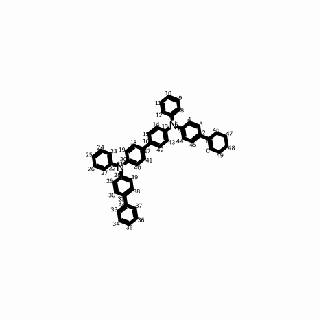 C1=C(c2ccc(N(c3ccccc3)c3ccc(-c4ccc(N(c5ccccc5)c5ccc(-c6ccccc6)cc5)cc4)cc3)cc2)CCCC1